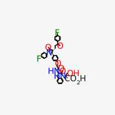 O=C(COc1ccc([C@@H]2[C@@H](CCC(=O)c3ccc(F)cc3)C(=O)N2c2ccc(F)cc2)cc1)N[C@H](Cc1ccccc1)C(=O)N[C@@H](CO)C(=O)O